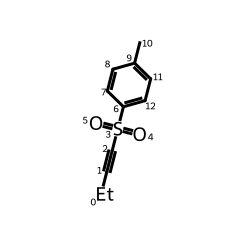 CCC#CS(=O)(=O)c1ccc(C)cc1